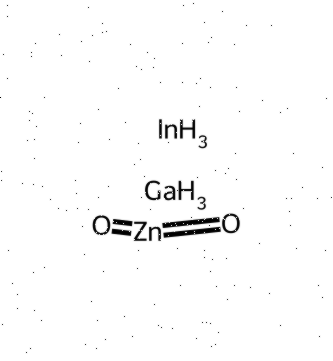 [GaH3].[InH3].[O]=[Zn]=[O]